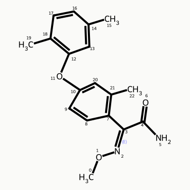 CO/N=C(/C(N)=O)c1ccc(Oc2cc(C)ccc2C)cc1C